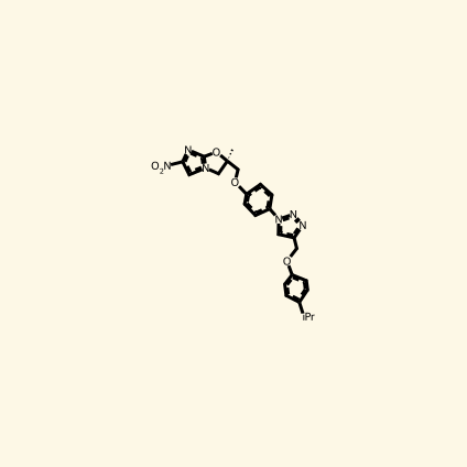 CC(C)c1ccc(OCc2cn(-c3ccc(OC[C@@]4(C)Cn5cc([N+](=O)[O-])nc5O4)cc3)nn2)cc1